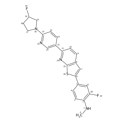 CNc1ccc(-c2cc3ccc(-c4ccc(N5CCC(F)C5)nc4)nc3s2)cc1F